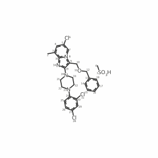 CS(=O)(=O)O.Cc1cc(Cl)cn2c(COCc3ccccc3)c(N3CCN(c4ccc(Cl)cc4Cl)CC3)nc12